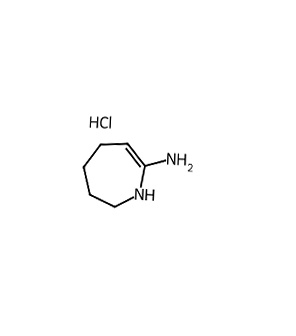 Cl.NC1=CCCCCN1